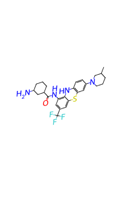 CC1CCCN(c2ccc3c(c2)Sc2cc(C(F)(F)F)cc(NC(=O)C4CCCC(N)C4)c2N3)C1